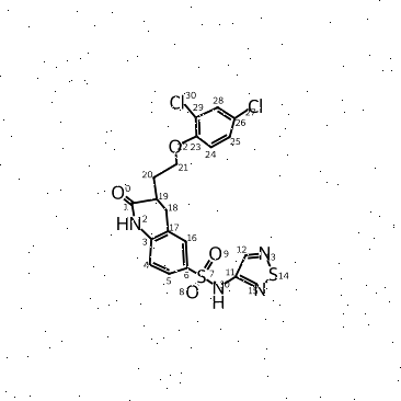 O=C1Nc2ccc(S(=O)(=O)Nc3cnsn3)cc2CC1CCOc1ccc(Cl)cc1Cl